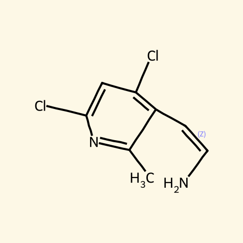 Cc1nc(Cl)cc(Cl)c1/C=C\N